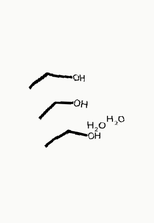 CCO.CCO.CCO.O.O